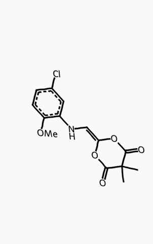 COc1ccc(Cl)cc1NC=C1OC(=O)C(C)(C)C(=O)O1